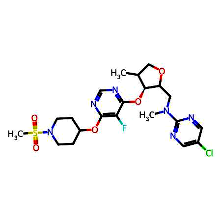 CC1COC(CN(C)c2ncc(Cl)cn2)[C@H]1Oc1ncnc(OC2CCN(S(C)(=O)=O)CC2)c1F